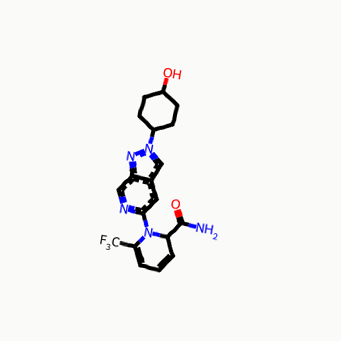 NC(=O)C1C=CC=C(C(F)(F)F)N1c1cc2cn(C3CCC(O)CC3)nc2cn1